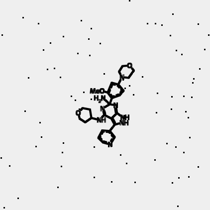 COc1cc(N2CCOCC2)ccc1C1(N)N=C2NNC(c3cccnc3)=C2C(NC2CCOCC2)=N1